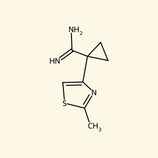 Cc1nc(C2(C(=N)N)CC2)cs1